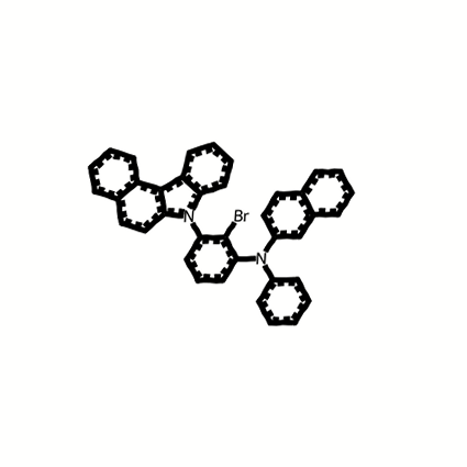 Brc1c(N(c2ccccc2)c2ccc3ccccc3c2)cccc1-n1c2ccccc2c2c3ccccc3ccc21